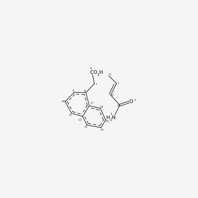 CC=CC(N)=O.O=C(O)Cc1cccc2ccccc12